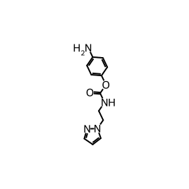 Nc1ccc(OC(=O)NCCn2cccn2)cc1